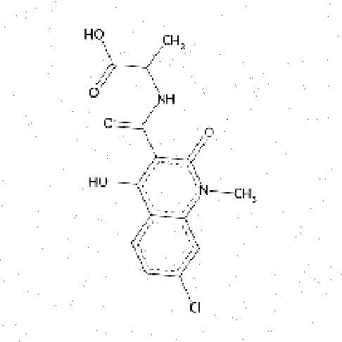 CC(NC(=O)c1c(O)c2ccc(Cl)cc2n(C)c1=O)C(=O)O